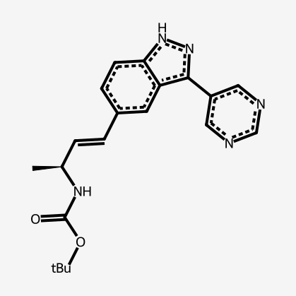 C[C@@H](/C=C/c1ccc2[nH]nc(-c3cncnc3)c2c1)NC(=O)OC(C)(C)C